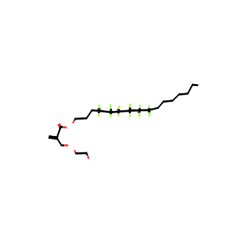 C=C(COCCO)C(=O)OCCCC(F)(F)C(F)(F)C(F)(F)C(F)(F)C(F)(F)C(F)(F)CCCCCCC